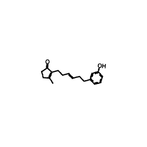 CC1=C(CCC=CCCc2cccc(O)c2)C(=O)CC1